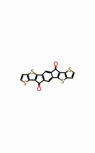 O=c1c2cc3c(cc2c2sc4ccsc4c12)c(=O)c1c2sccc2sc31